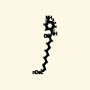 CCCCCCCCCCCCCCCCCCCC(=O)Nc1ccc(N)cc1